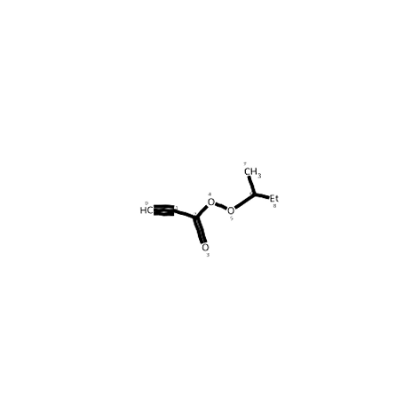 C#CC(=O)OOC(C)CC